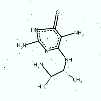 C[C@H](N)[C@@H](C)Nc1nc(N)[nH]c(=O)c1N